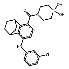 O=C(c1ncc(Nc2cccc(Cl)c2)c2c1C1CCC2CC1)N1CCS(O)(O)CC1